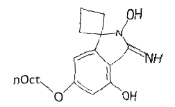 CCCCCCCCOc1cc(O)c2c(c1)C1(CCC1)N(O)C2=N